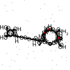 CCCC[C@H](NC(=O)CCC(=O)NCCCOCCOCCOCCCNC(=O)CN1CCN(CC(=O)O)CCN(CC(=O)O)CCN(CC(=O)O)CC1)C(=O)N[C@H]1CSCc2cccc(c2)CSC[C@@H](C(=O)NCCC(=O)O)NC(=O)[C@H](Cc2ccccc2)NC(=O)[C@H](CCC(N)=O)NC(=O)[C@H]([C@@H](C)O)NC(=O)[C@@H]2CCCN2C(=O)[C@@H]2CCCN2C1=O